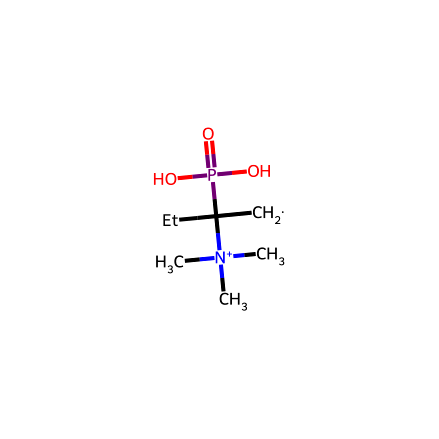 [CH2]C(CC)([N+](C)(C)C)P(=O)(O)O